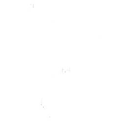 Fc1ccc(-c2[nH]c(C3CC4CCC(C3)N4)cc2-c2ccncc2)cc1